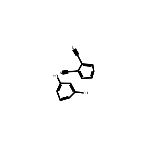 N#Cc1ccccc1C#N.Oc1cccc(O)c1